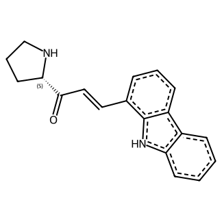 O=C(C=Cc1cccc2c1[nH]c1ccccc12)[C@@H]1CCCN1